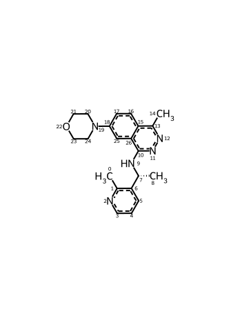 Cc1ncccc1[C@@H](C)Nc1nnc(C)c2ccc(N3CCOCC3)cc12